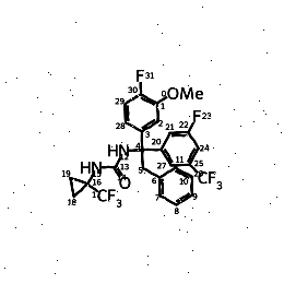 COc1cc(C(Cc2ccccc2)(NC(=O)NC2(C(F)(F)F)CC2)c2cc(F)cc(C(F)(F)F)c2)ccc1F